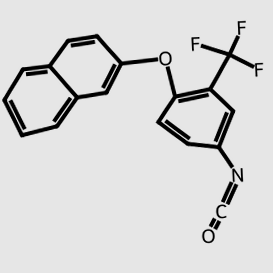 O=C=Nc1ccc(Oc2ccc3ccccc3c2)c(C(F)(F)F)c1